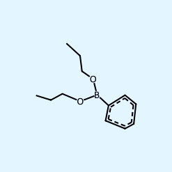 CCCOB(OCCC)c1ccccc1